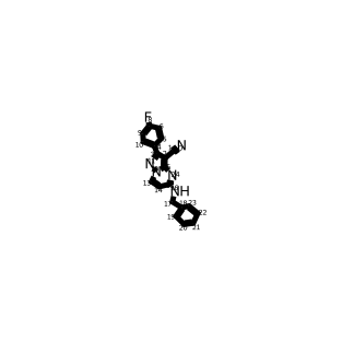 N#Cc1c(-c2ccc(F)cc2)nn2ccc(NCc3ccccc3)nc12